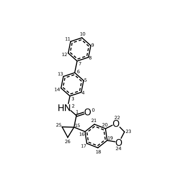 O=C(Nc1ccc(-c2ccccc2)cc1)C1(c2ccc3c(c2)OCO3)CC1